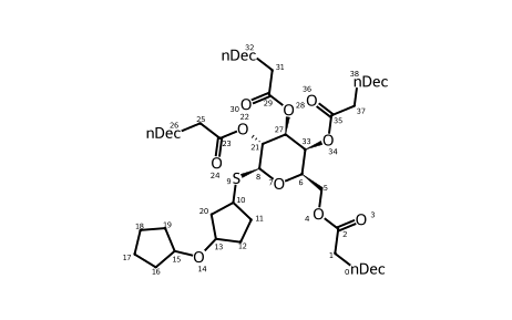 CCCCCCCCCCCC(=O)OC[C@H]1O[C@@H](SC2CCC(OC3CCCC3)C2)[C@H](OC(=O)CCCCCCCCCCC)[C@@H](OC(=O)CCCCCCCCCCC)[C@H]1OC(=O)CCCCCCCCCCC